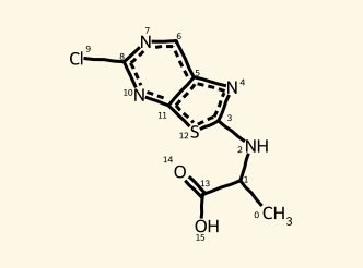 CC(Nc1nc2cnc(Cl)nc2s1)C(=O)O